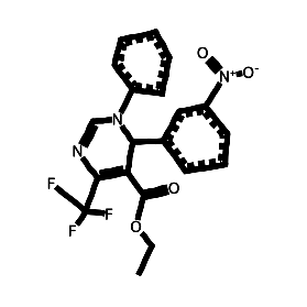 CCOC(=O)C1=C(C(F)(F)F)N=CN(c2ccccc2)C1c1cccc([N+](=O)[O-])c1